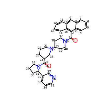 O=C(c1c2ccccc2cc2ccccc12)N1CCC(N2CCCC(C(=O)N3CCCC3c3cccnc3)C2)CC1